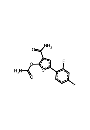 NC(=O)Oc1sc(-c2ccc(F)cc2F)cc1C(N)=O